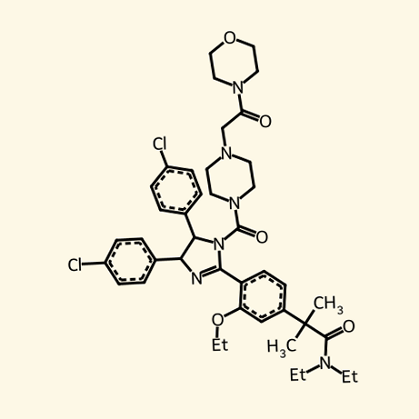 CCOc1cc(C(C)(C)C(=O)N(CC)CC)ccc1C1=NC(c2ccc(Cl)cc2)C(c2ccc(Cl)cc2)N1C(=O)N1CCN(CC(=O)N2CCOCC2)CC1